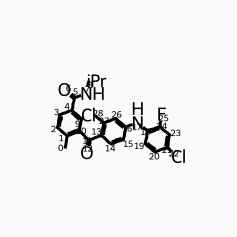 Cc1ccc(C(=O)NC(C)C)cc1C(=O)c1ccc(Nc2ccc(Cl)cc2F)cc1Cl